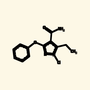 CCc1c(C(N)=O)c(Oc2ccccc2)nn1Cl